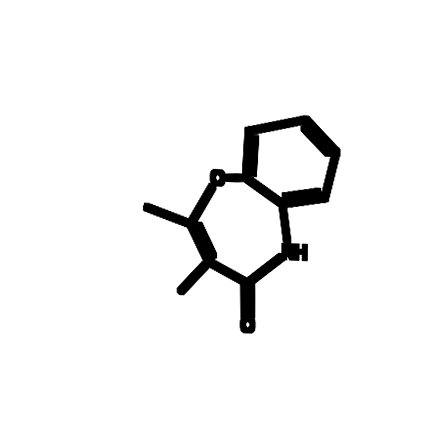 CC1=C(C)C(=O)Nc2ccccc2O1